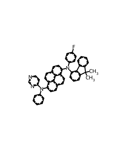 CC1(C)c2ccccc2-c2c(N(c3ccc(F)cc3)c3ccc4ccc5c(N(c6ccccc6)c6ccncn6)ccc6ccc3c4c65)cccc21